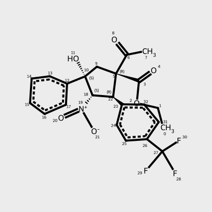 CCOC(=O)[C@]1(C(C)=O)C[C@](O)(c2ccccc2)[C@@H]([N+](=O)[O-])[C@@H]1c1ccc(C(F)(F)F)cc1